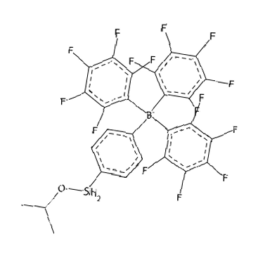 CC(C)O[SiH2]c1ccc([B-](c2c(F)c(F)c(F)c(F)c2F)(c2c(F)c(F)c(F)c(F)c2F)c2c(F)c(F)c(F)c(F)c2F)cc1